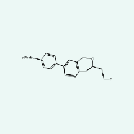 CCCCCc1ccc(-c2ccc3c(c2)COC(CCF)C3)cc1